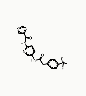 O=C(Cc1ccc(C(F)(F)F)cc1)Nc1ccc(NC(=O)c2cscn2)nc1